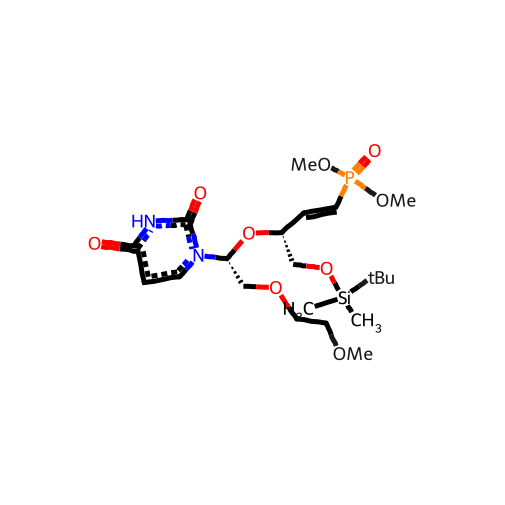 COCCOC[C@@H](O[C@H](/C=C/P(=O)(OC)OC)CO[Si](C)(C)C(C)(C)C)n1ccc(=O)[nH]c1=O